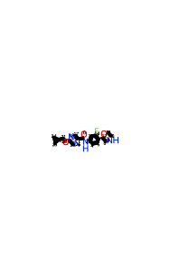 O=C(Nc1ccc([C@H]2CNCCO2)c(F)c1)c1cnc(OCC2CC2)cn1